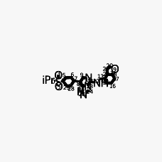 CC(C)S(=O)(=O)c1ccc(-c2cnc(NCc3cccc4occc34)n3cnnc23)cc1